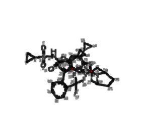 O=C(NS(=O)(=O)C1CC1)c1cc(C2CC2)c2nc(N3C4CCC3CC(NCc3c(-c5ccccc5C(F)(F)F)noc3C3CC3)C4)sc2c1